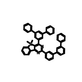 C[Si]1(C)c2ccccc2-c2nc(-c3cccc(-c4cccc(-c5ccccc5)c4)c3)nc(-c3cc(-c4ccccc4)cc(-c4ccccc4)c3)c21